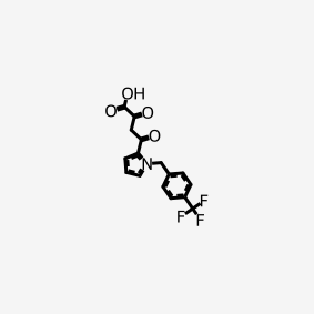 O=C(O)C(=O)CC(=O)c1cccn1Cc1ccc(C(F)(F)F)cc1